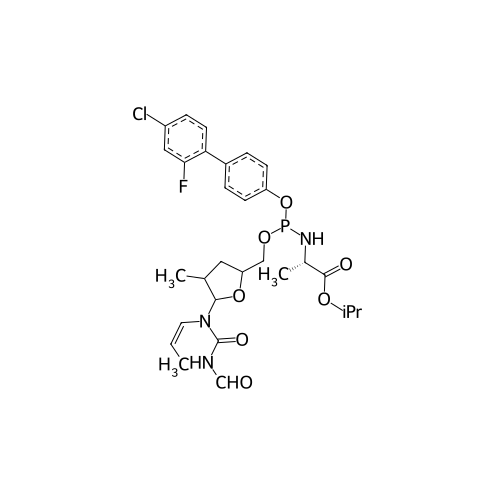 C/C=C\N(C(=O)NC=O)C1OC(COP(N[C@@H](C)C(=O)OC(C)C)Oc2ccc(-c3ccc(Cl)cc3F)cc2)CC1C